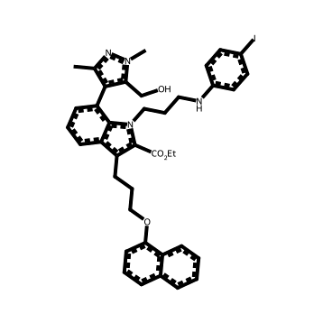 CCOC(=O)c1c(CCCOc2cccc3ccccc23)c2cccc(-c3c(C)nn(C)c3CO)c2n1CCCNc1ccc(I)cc1